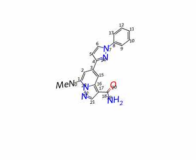 CNc1cc(-c2ccn(-c3ccccc3)n2)cc2c(C(N)=O)cnn12